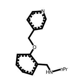 CCCNCc1ccccc1OCc1ccncc1